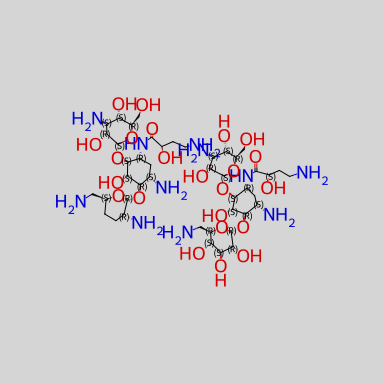 NCCC(O)C(=O)N[C@@H]1C[C@H](N)[C@@H](O[C@H]2O[C@H](CN)CC[C@H]2N)[C@H](O)[C@H]1O[C@H]1O[C@H](CO)[C@@H](O)[C@H](N)[C@H]1O.NCC[C@H](O)C(=O)N[C@@H]1C[C@H](N)[C@@H](O[C@H]2O[C@H](CN)[C@@H](O)[C@H](O)[C@H]2O)[C@H](O)[C@H]1O[C@H]1O[C@H](CO)[C@@H](O)[C@H](N)[C@H]1O